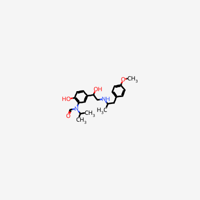 COc1ccc(CC(C)NCC(O)c2ccc(O)c(N(C=O)C(C)C)c2)cc1